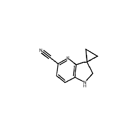 N#Cc1ccc2c(n1)C1(CC1)CN2